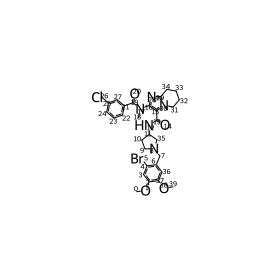 COc1cc(Br)c(CN2CCC(NC(=O)c3c(N(C)C(=O)c4cccc(Cl)c4)nc4n3CCCC4)C2)cc1OC